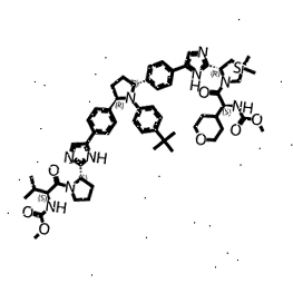 COC(=O)N[C@H](C(=O)N1CCC[C@H]1c1ncc(-c2ccc([C@H]3CC[C@H](c4ccc(-c5cnc([C@@H]6C[Si](C)(C)CN6C(=O)[C@@H](NC(=O)OC)C6CCOCC6)[nH]5)cc4)N3c3ccc(C(C)(C)C)cc3)cc2)[nH]1)C(C)C